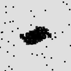 CC1(C)Oc2ccc(C#N)cc2[C@@H](N2CCCC2=O)[C@H]1OP(=O)(O)O[C@H]1[C@@H](N2CCCC2=O)c2cc(C#N)ccc2OC1(C)C